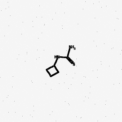 NC(=S)NC1CCC1